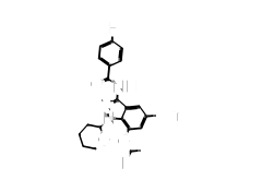 CCCc1cc(OC(F)F)c2c(c1)c(NC(=O)c1ccc(F)cc1)nn2C1CCCCO1